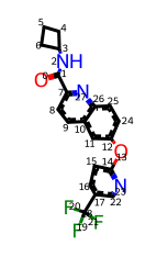 O=C(NC1CCC1)c1ccc2cc(Oc3ccc(C(F)(F)F)cn3)ccc2n1